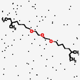 C=CC(=C)CCCCCOCCOCCOCCCCCC(=C)C=C